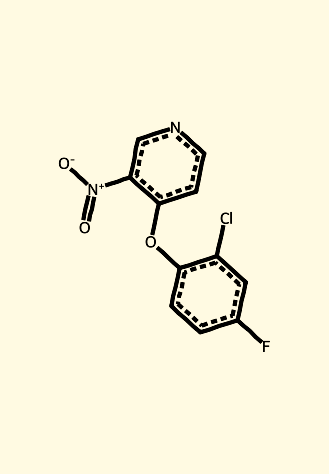 O=[N+]([O-])c1cnccc1Oc1ccc(F)cc1Cl